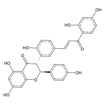 O=C(/C=C/c1ccc(O)c([C@H]2C(=O)c3c(O)cc(O)cc3O[C@@H]2c2ccc(O)cc2)c1)c1ccc(O)cc1O